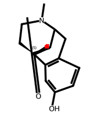 CN1CC[C@]23CC(=O)CCC2C1Cc1ccc(O)cc13